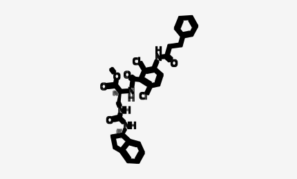 COC(=O)[C@H](CNC(=O)N[C@@H]1CCc2ccccc21)NC(=O)c1c(Cl)ccc(NC(=O)CCc2ccccc2)c1Cl